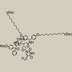 CCCCCCCCCCCCCCCCCCCCCCOc1ccc(C(NC(=O)CC(C(=O)O)[C@H]2C[C@H](n3cc(C)c(=O)[nH]c3=O)O[C@@H]2COC(c2ccccc2)(c2ccc(OC)cc2)c2ccc(OC)cc2)c2ccc(OCCCCCCCCCCCCCCCCCCCCCC)cc2)cc1